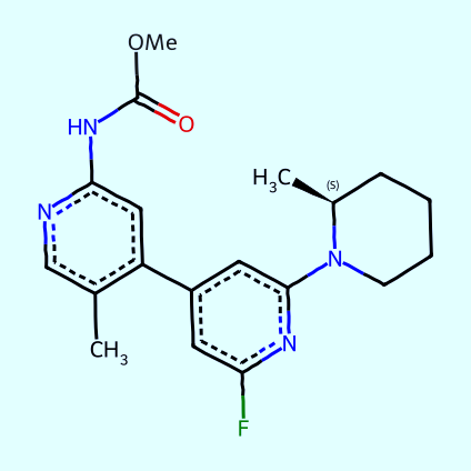 COC(=O)Nc1cc(-c2cc(F)nc(N3CCCC[C@@H]3C)c2)c(C)cn1